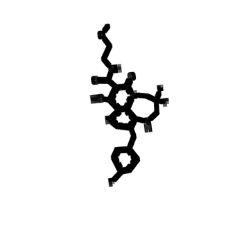 COCCNC(=O)c1c(O)c2ncc(Cc3ccc(F)cc3)c3c2n(c1=O)CC(F)(F)CN3